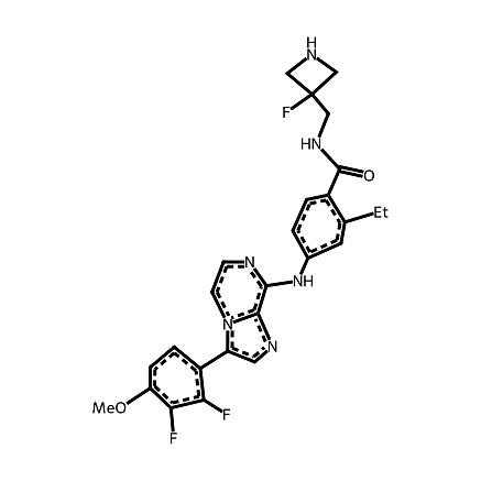 CCc1cc(Nc2nccn3c(-c4ccc(OC)c(F)c4F)cnc23)ccc1C(=O)NCC1(F)CNC1